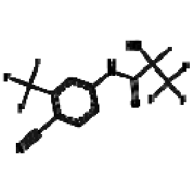 CC(O)(C(=O)Nc1ccc(C#N)c(C(F)(F)F)c1)C(F)(F)F